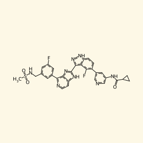 CS(=O)(=O)NCc1cc(F)cc(-c2nccc3[nH]c(-c4n[nH]c5ccc(-c6cncc(NC(=O)C7CC7)c6)c(F)c45)nc23)c1